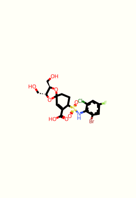 O=C(O)C1=CC2(CCC1S(=O)(=O)Nc1c(Cl)cc(F)cc1Br)O[C@H](CO)[C@@H](CO)O2